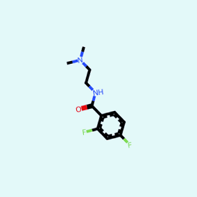 CN(C)CCNC(=O)c1ccc(F)cc1F